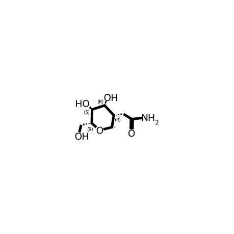 NC(=O)C[C@@H]1[CH]O[C@H](CO)[C@@H](O)[C@@H]1O